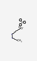 CCCCC/C=C\C/C=C\CCCCCCCC(=O)[O-].c1ccc([S+](c2ccccc2)c2ccccc2)cc1